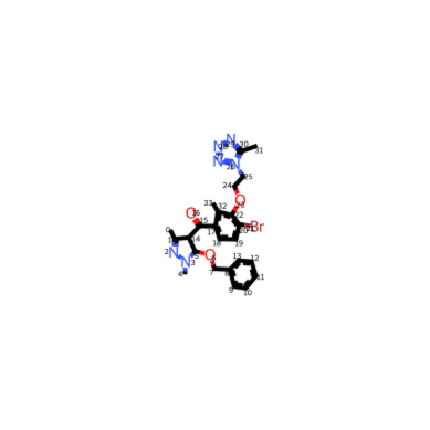 CC1=NN(C)C(OCc2ccccc2)C1C(=O)c1ccc(Br)c(OCCn2nnnc2C)c1C